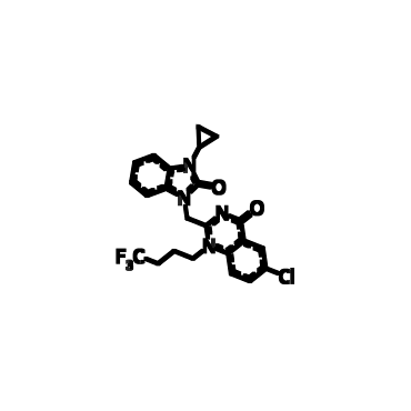 O=c1nc(Cn2c(=O)n(C3CC3)c3ccccc32)n(CCCC(F)(F)F)c2ccc(Cl)cc12